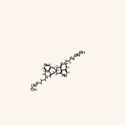 OOOSCCC[n+]1cc2c3c(cncc3c1)CC1(Cc3cncc4c[n+](CCCSOOO)cc(c34)C1)C2